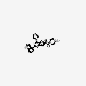 CC(=O)N1CCN(S(=O)(=O)c2cc3nc(-c4cccc5[nH]ncc45)nc(N4CCOCC4)c3s2)CC1